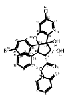 O=C(On1ccccc1=S)[C@H]1[C@@H](O)[C@@]2(O)c3ncc(Cl)cc3O[C@@]2(c2ccc(Br)cc2)[C@@H]1c1ccccc1